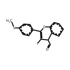 CSc1ccc(C2=C(I)C(C=O)c3ccccc3O2)cc1